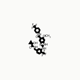 COc1cc2[nH]c(Nc3cc(CNC(=O)C4(O)CC4)ccc3C(F)(F)F)nc2cc1C(=O)NC1CCC(C(F)(F)F)CC1